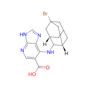 O=C(O)c1cnc2[nH]cnc2c1NC1[C@H]2CC3C[C@H]1CC(Br)(C3)C2